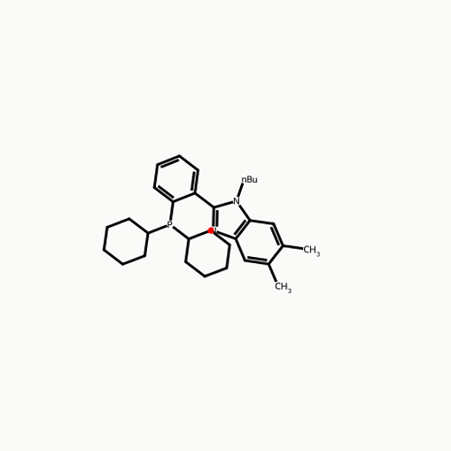 CCCCn1c(-c2ccccc2P(C2CCCCC2)C2CCCCC2)nc2cc(C)c(C)cc21